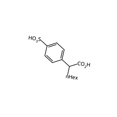 CCCCCCC(C(=O)O)c1ccc(S(=O)(=O)O)cc1